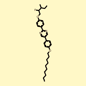 CCCCCCCCCCOc1ccc(-c2cnc(-c3ccc(OCC(F)C(C)CC)cc3)nc2)cc1